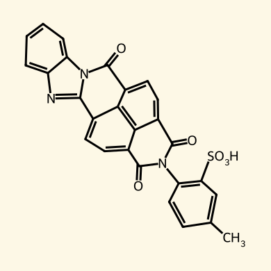 Cc1ccc(N2C(=O)c3ccc4c(=O)n5c6ccccc6nc5c5ccc(c3c45)C2=O)c(S(=O)(=O)O)c1